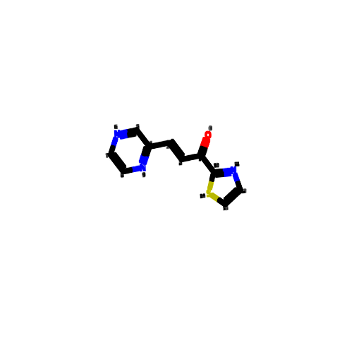 O=C(/C=C/c1cnccn1)c1nccs1